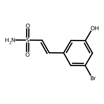 NS(=O)(=O)C=Cc1cc(O)cc(Br)c1